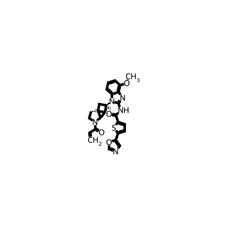 C=CC(=O)N1CC[C@]23C[C@@H](n4c(NC(=O)c5ccc(-c6cnco6)s5)nc5c(OC)cccc54)C2C13